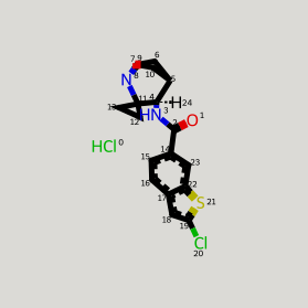 Cl.O=C(N[C@@H]1C2CCN(CC2)C12CC2)c1ccc2cc(Cl)sc2c1